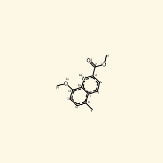 COC(=O)c1ccc2c(C)ccc(OC)c2n1